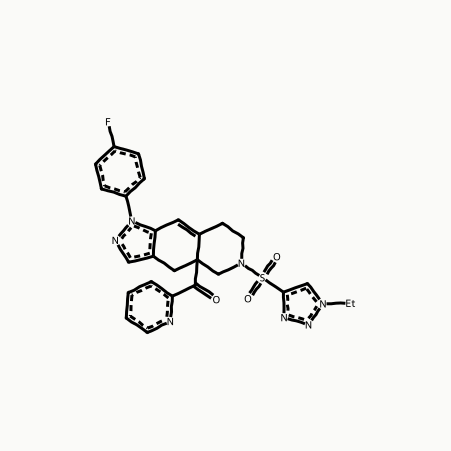 CCn1cc(S(=O)(=O)N2CCC3=Cc4c(cnn4-c4ccc(F)cc4)CC3(C(=O)c3ccccn3)C2)nn1